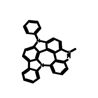 Cc1cccc2c1c1c([SiH](C)C)ccc3c1c1c(ccc4c5ccccc5n2c41)n3-c1ccccc1